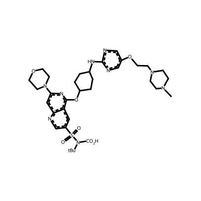 CN1CCN(CCOc2cnc(NC3CCC(Oc4nc(N5CCOCC5)cc5ncc(S(=O)(=O)N(C(=O)O)C(C)(C)C)cc45)CC3)nc2)CC1